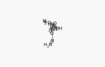 Cc1ncsc1-c1ccc(CNC(=O)[C@@H]2C[C@@H](O)CN2C(=O)[C@@H](NC(=O)COCCCCCN2CCC(N)CC2)C(C)(C)C)cc1